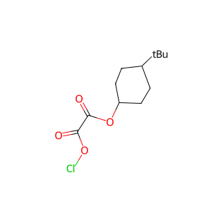 CC(C)(C)C1CCC(OC(=O)C(=O)OCl)CC1